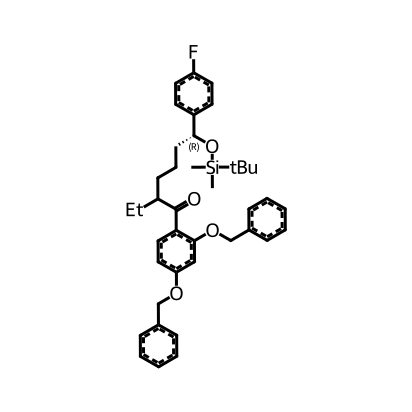 CCC(CCC[C@@H](O[Si](C)(C)C(C)(C)C)c1ccc(F)cc1)C(=O)c1ccc(OCc2ccccc2)cc1OCc1ccccc1